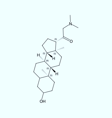 CN(C)CC(=O)[C@H]1CC[C@H]2[C@@H]3CCC4CC(O)CC[C@]4(C)[C@H]3CC[C@]12C